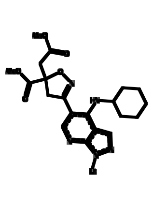 CCn1ncc2c(NC3CCCCC3)c(C3=NOC(CC(=O)OC)(C(=O)OC)C3)cnc21